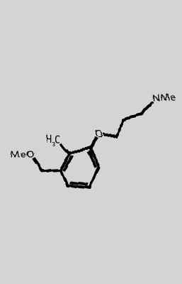 CNCCCOc1cccc(COC)c1C